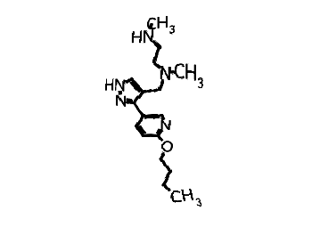 CCCCOc1ccc(-c2n[nH]cc2CN(C)CCNC)cn1